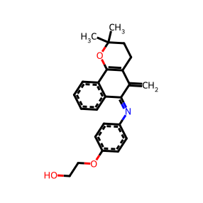 C=C1C2=C(OC(C)(C)CC2)c2ccccc2/C1=N\c1ccc(OCCO)cc1